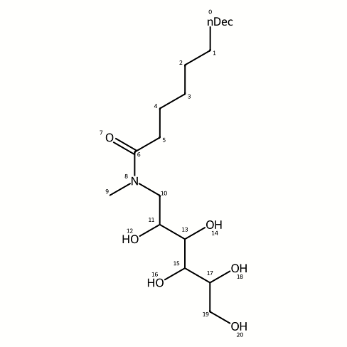 CCCCCCCCCCCCCCCC(=O)N(C)CC(O)C(O)C(O)C(O)CO